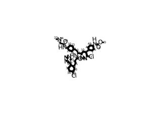 COC(=O)Nc1ccc(-c2cc(C(Cc3ccc(NC(=O)CN(C)C)cc3)NC(=O)C=Cc3cc(Cl)ccc3-n3cnnn3)nnc2Cl)cc1